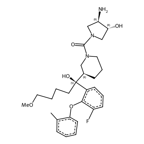 COCCCC[C@@](O)(c1cccc(F)c1Oc1ccccc1C)[C@@H]1CCCN(C(=O)N2C[C@@H](N)[C@H](O)C2)C1